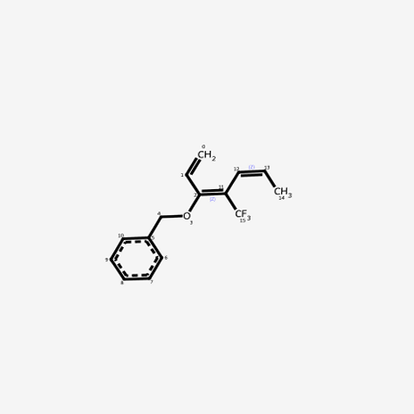 C=C/C(OCc1ccccc1)=C(\C=C/C)C(F)(F)F